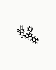 CC1(C)C(=O)NCCN1C(=O)c1ccc2c(-c3ccc(Cl)c(F)c3)cn(C3CCOCC3)c2n1